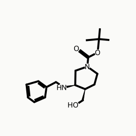 CC(C)(C)OC(=O)N1CC[C@@H](CO)[C@@H](NCc2ccccc2)C1